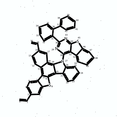 C=Cc1ccc2c(c1)sc1c2c2ccc(C=C)cc2c2c1c1ccccc1n2-c1nc(-c2ccccc2-c2ccccc2)nc2sc3ccccc3c12